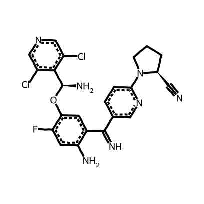 N#C[C@@H]1CCCN1c1ccc(C(=N)c2cc(O[C@H](N)c3c(Cl)cncc3Cl)c(F)cc2N)cn1